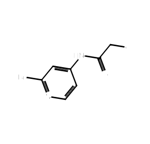 O=C(CCl)Nc1ccnc(Br)c1